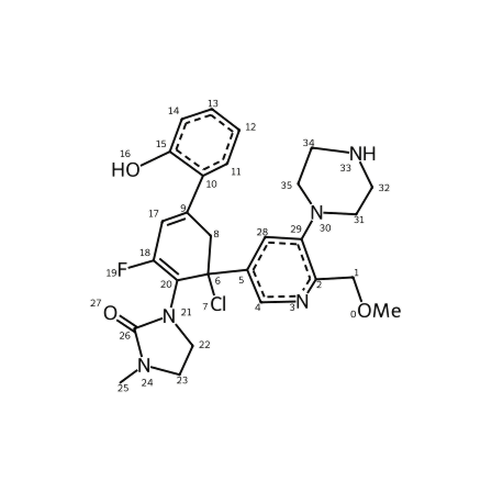 COCc1ncc(C2(Cl)CC(c3ccccc3O)=CC(F)=C2N2CCN(C)C2=O)cc1N1CCNCC1